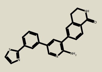 Nc1ncc(-c2cccc(-c3nccs3)c2)cc1-c1ccc2c(c1)CCNC2=O